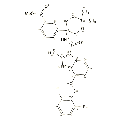 COC(=O)c1cccc(C2(NC(=O)c3c(C)nc4c(OCc5c(F)cccc5F)cccn34)COC(C)(C)OC2)c1